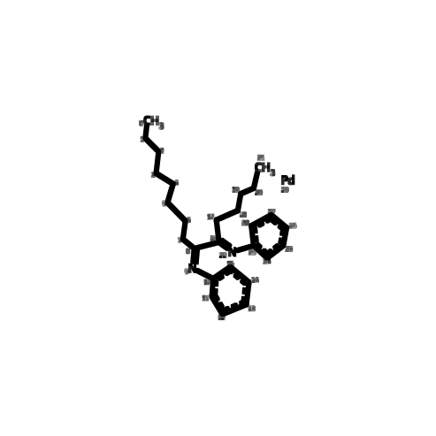 CCCCCCCCC(=Nc1ccccc1)C(CCCCC)=Nc1ccccc1.[Pd]